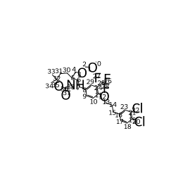 COCOC[C@]1(CCc2ccc(OCCCc3ccc(Cl)c(Cl)c3)c(C(F)(F)F)c2)CCC(C)(C)OC(=O)N1